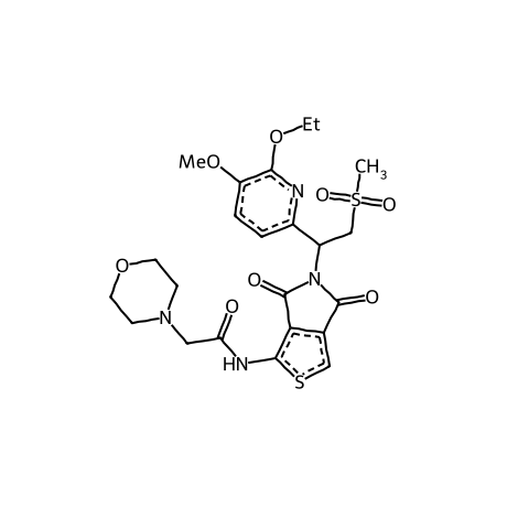 CCOc1nc(C(CS(C)(=O)=O)N2C(=O)c3csc(NC(=O)CN4CCOCC4)c3C2=O)ccc1OC